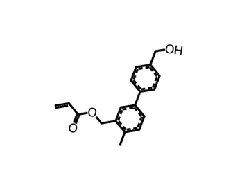 C=CC(=O)OCc1cc(-c2ccc(CO)cc2)ccc1C